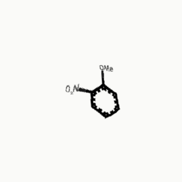 COc1cc[c]cc1[N+](=O)[O-]